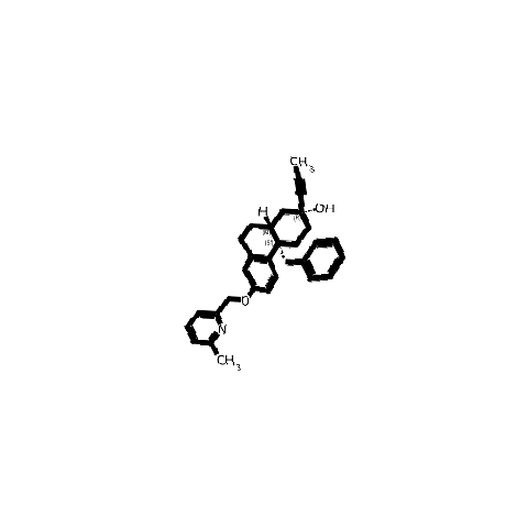 CC#C[C@@]1(O)CC[C@@]2(Cc3ccccc3)c3ccc(OCc4cccc(C)n4)cc3CC[C@@H]2C1